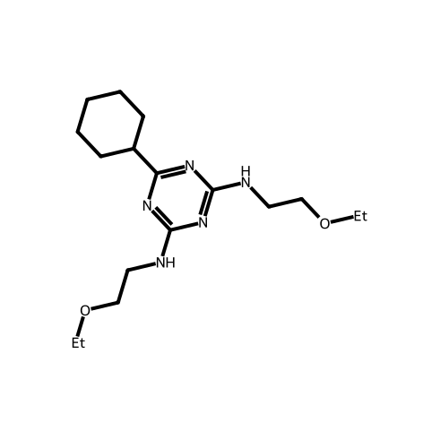 CCOCCNc1nc(NCCOCC)nc(C2CCCCC2)n1